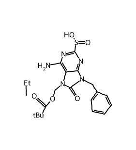 CC(C)(C)C(=O)OCn1c(=O)n(Cc2ccccc2)c2nc(S(=O)O)nc(N)c21.CCC